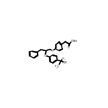 COC(=O)Cc1ccc(OCC(Cc2ccccc2)Oc2ccc(C(O)(C(F)(F)F)C(F)(F)F)cc2)cc1